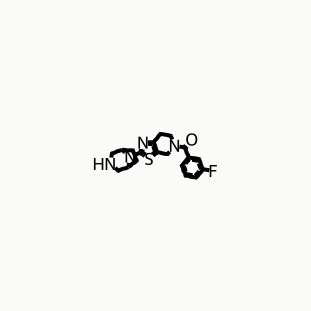 O=C(c1cccc(F)c1)N1CCc2nc(N3C4CCC3CNC4)sc2C1